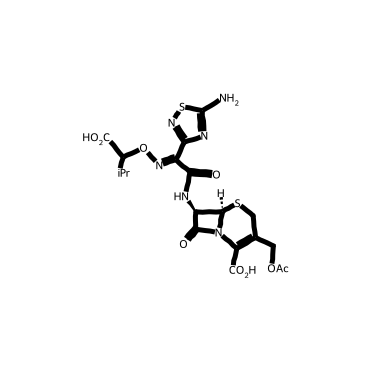 CC(=O)OCC1=C(C(=O)O)N2C(=O)[C@@H](NC(=O)C(=NOC(C(=O)O)C(C)C)c3nsc(N)n3)[C@H]2SC1